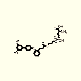 COc1cc(OC)cc(-c2ccc(Oc3ccccc3CCC(=O)OCCCOP(=O)(O)OCC(N)C(=O)O)cc2)c1